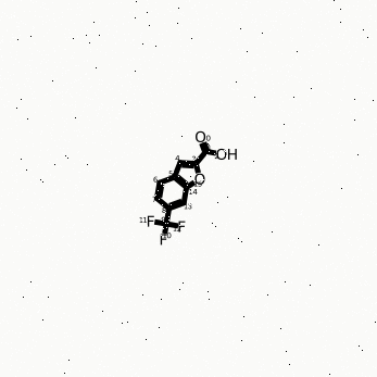 O=C(O)c1cc2ccc(C(F)(F)F)cc2o1